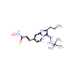 CCCc1nc2cc(C=CC(=O)NO)ccn2c1CNC(C)(C)C